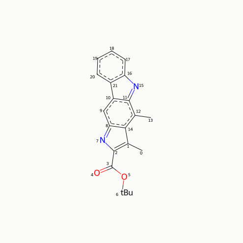 CC1=C(C(=O)OC(C)(C)C)N=c2cc3c(c(C)c21)=Nc1ccccc1-3